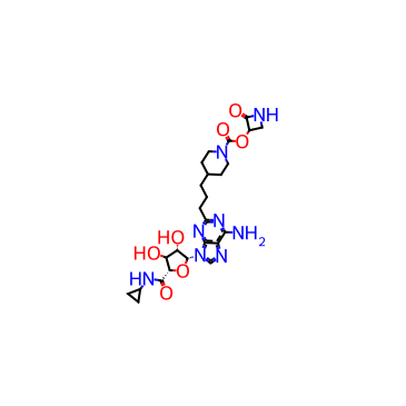 Nc1nc(CCCC2CCN(C(=O)OC3CNC3=O)CC2)nc2c1ncn2[C@@H]1O[C@H](C(=O)NC2CC2)C(O)[C@@H]1O